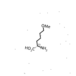 COCCCC[C@H](N)C(=O)O